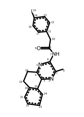 Cc1nc2c(nc1NC(=O)Cc1ccc(I)cc1)CCc1ccccc1-2